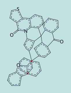 O=C1c2ccccc2C2(c3cc(-c4ccccc4)ccc31)c1cc(-c3cccc4c3oc3ccccc34)ccc1-n1c(=O)c3ccsc3c3cccc2c31